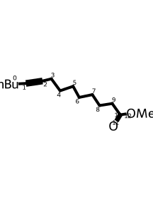 CCCCC#CCCCCCCCC(=O)OC